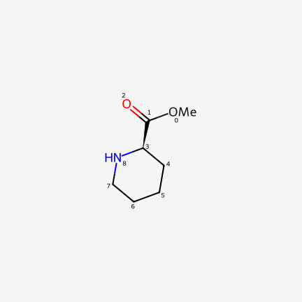 COC(=O)[C@H]1CCCCN1